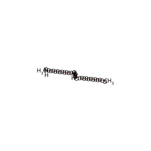 CC(=O)CCCOCCOCCOCCOCCOCCOCCOCCOCCOCCOCCOCCCC(=O)C(F)(F)OC(F)(F)C(F)(F)OC(F)(F)C(=O)NCCOCCOCCOCCOCCOCCOCCOCCOCCOCCOCCOCCNC(C)=O